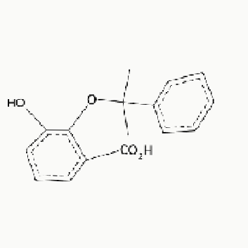 CC(C)(Oc1c(O)cccc1C(=O)O)c1ccccc1